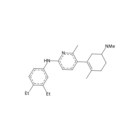 CCc1ccc(Nc2ccc(C3=C(C)CCC(NC)C3)c(C)n2)cc1CC